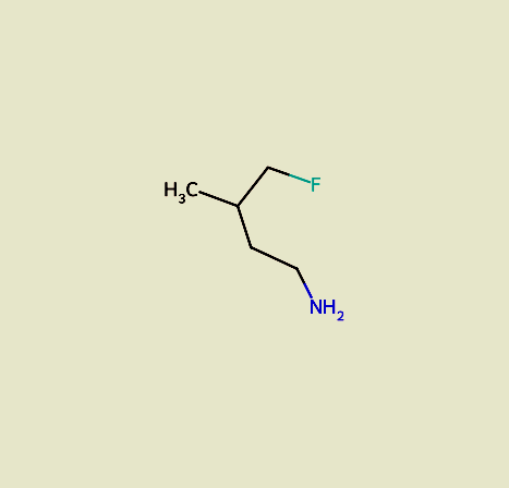 CC(CF)CCN